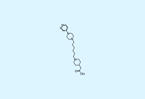 O=C(O)CC1CCN(CCCCCCN2CCN(c3ccnnc3)CC2)CC1